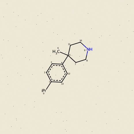 CC(C)c1ccc(C2(C)CCNCC2)cc1